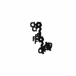 CC1=NC(CCc2ccc(OCCCc3cccc(Cl)c3Cl)c(C(F)(F)F)c2)(COP(=O)(C(C)(C)C)C(C)(C)C)CO1